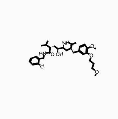 COCCCOc1cc(C[C@@H](C[C@H](N)[C@@H](O)C[C@H](C(=O)NCc2ccccc2Cl)C(C)C)C(C)C)ccc1OC